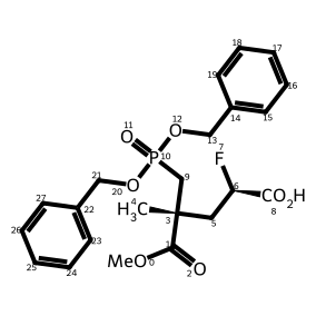 COC(=O)[C@@](C)(C[C@@H](F)C(=O)O)CP(=O)(OCc1ccccc1)OCc1ccccc1